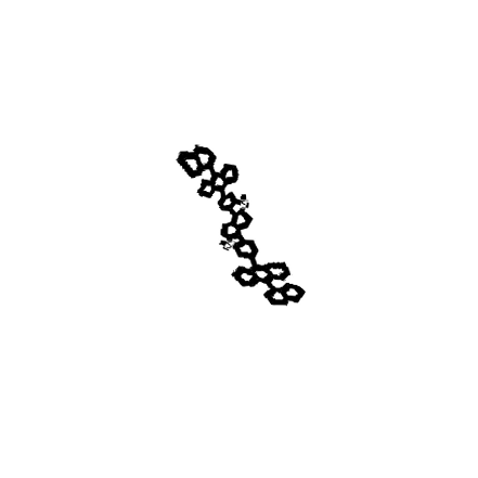 C[Si]1(C)c2cc(-c3c4ccccc4c(-c4cccc5ccccc45)c4ccccc34)ccc2-c2c1ccc1c3c(ccc21)[Si](C)(C)c1cc(-c2c4ccccc4c(-c4cccc5ccccc45)c4ccccc24)ccc1-3